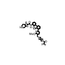 COc1nc(-c2cccc(-c3cccc(NC(=O)c4nc5c(n4C)CCNC5)c3Cl)c2Cl)ccc1CN1CC2(C1)CN(C(=O)C(F)F)C2